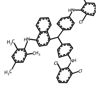 Cc1cc(C)c(Nc2ccc(C(c3ccc(Nc4c(Cl)cccc4Cl)cc3)c3ccc(Nc4c(Cl)cccc4Cl)cc3)c3ccccc23)c(C)c1